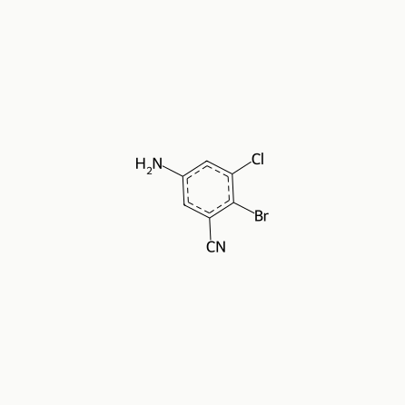 N#Cc1cc(N)cc(Cl)c1Br